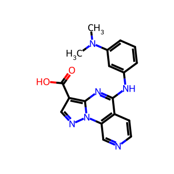 CN(C)c1cccc(Nc2nc3c(C(=O)O)cnn3c3cnccc23)c1